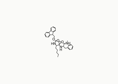 CCCCCC(NC(=O)OCC1c2ccccc2-c2ccccc21)C(=O)NC(Cc1ccccc1)C(=O)NC